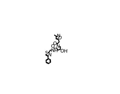 Cc1cc(CC(=O)N2C[C@H](O)C[C@H]2C(=O)NCc2nc(-c3ccccc3)cs2)on1